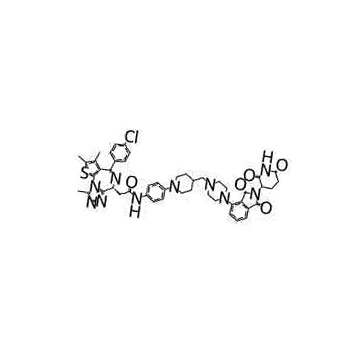 Cc1sc2c(c1C)C(c1ccc(Cl)cc1)=N[C@@H](CC(=O)Nc1ccc(N3CCC(CN4CCN(c5cccc6c5C(=O)N(C5CCC(=O)NC5=O)C6=O)CC4)CC3)cc1)c1nnc(C)n1-2